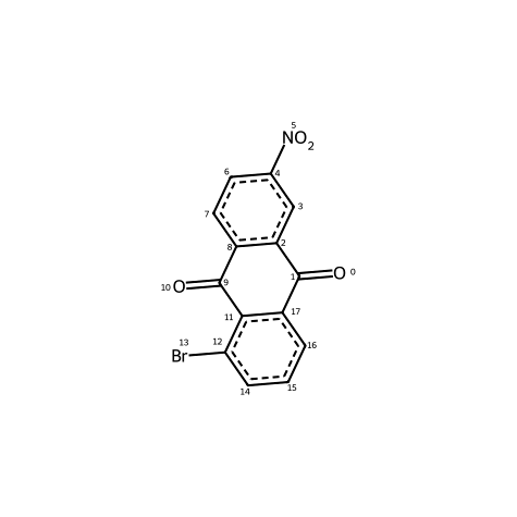 O=C1c2cc([N+](=O)[O-])ccc2C(=O)c2c(Br)cccc21